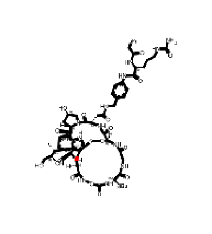 CC[C@H](C)[C@@H]1NC(=O)CNC(=O)[C@@H]2Cc3c([nH]c4ccccc34)SC[C@H](NC(=O)CNC1=O)C(=O)N[C@@H](CC(=O)NCc1ccc(NC(=O)[C@H](CCCNC(N)=O)NC(=O)CC(C)C)cc1)C(=O)N1C[C@H](O)C[C@H]1C(=O)N[C@@H]([C@@H](C)[C@@H](O)CO)C(=O)N2